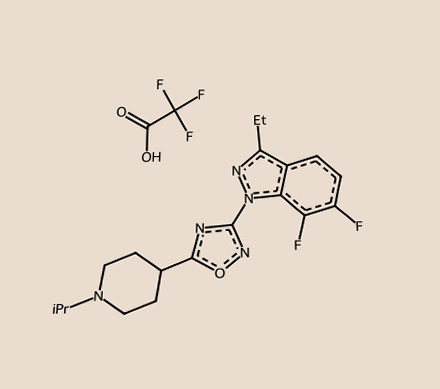 CCc1nn(-c2noc(C3CCN(C(C)C)CC3)n2)c2c(F)c(F)ccc12.O=C(O)C(F)(F)F